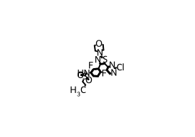 CCCS(=O)(=O)Nc1ccc(F)c(-c2nc(N3CCOCC3)sc2-c2ccnc(Cl)n2)c1F